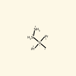 CC(C)[Si](C)([SiH2][SiH3])C(C)C